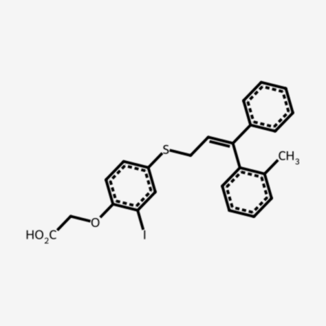 Cc1ccccc1/C(=C\CSc1ccc(OCC(=O)O)c(I)c1)c1ccccc1